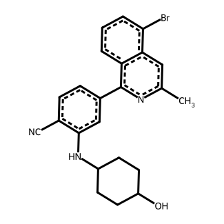 Cc1cc2c(Br)cccc2c(-c2ccc(C#N)c(NC3CCC(O)CC3)c2)n1